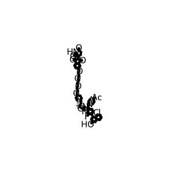 CC(=O)N1CCN(c2nc(O[C@H](C)CN3CCC(OCCOCCOCCOc4ccc5c(c4)C(=O)N(C4CCC(=O)NC4=O)C5=O)CC3)nc3c(F)c(-c4cc(O)cc5ccccc45)c(Cl)cc23)CC1